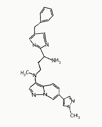 CN(CCC(N)c1ncc(Cc2ccccc2)cn1)c1cnn2cc(-c3cnn(C)c3)ccc12